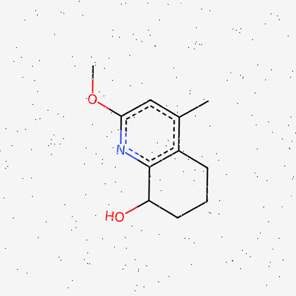 COc1cc(C)c2c(n1)C(O)CCC2